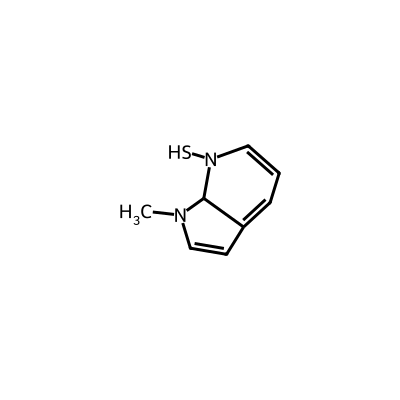 CN1C=CC2=CC=CN(S)C21